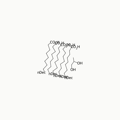 CC(O)CO.CCCCCCCCCCCCCCCCCC(=O)O.CCCCCCCCCCCCCCCCCC(=O)O.CCCCCCCCCCCCCCCCCC(=O)O.CCCCCCCCCCCCCCCCCC(=O)O.CCCCCCCCCCCCCCCCCC(=O)O